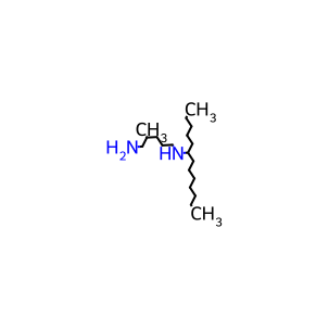 CCCCCCCC(CCCCC)NCCCC(C)CN